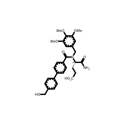 COc1cc(CN(C(=O)c2ccc(-c3ccc(CO)cc3)cc2)[C@@H](CCC(=O)O)C(N)=O)cc(OC)c1OC